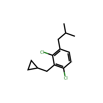 CC(C)Cc1c[c]c(Cl)c(CC2CC2)c1Cl